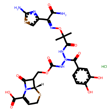 CC(C)(ON=C(C(N)=O)c1csc(N)n1)C(=O)NN(NC(=O)OCC1C(=O)N2C(C(=O)O)=CCS[C@@H]12)C(=O)c1ccc(O)c(O)c1.Cl